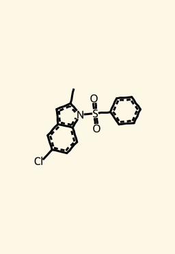 Cc1cc2cc(Cl)ccc2n1S(=O)(=O)c1ccccc1